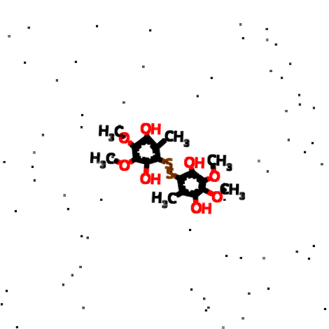 COc1c(O)c(C)c(SSc2c(C)c(O)c(OC)c(OC)c2O)c(O)c1OC